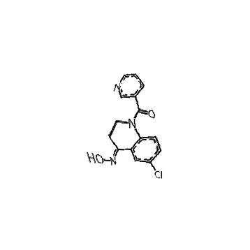 O=C(c1cccnc1)N1CCC(=NO)c2cc(Cl)ccc21